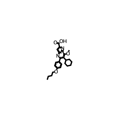 CCCCOc1ccc(-c2nc3cc(C(=O)O)nn3c(OC)c2C2CCCCC2)cc1